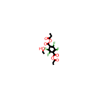 CCC(=O)OC(=O)c1c(F)c(F)c(C(=O)OC(=O)CC)c(F)c1F.CCO